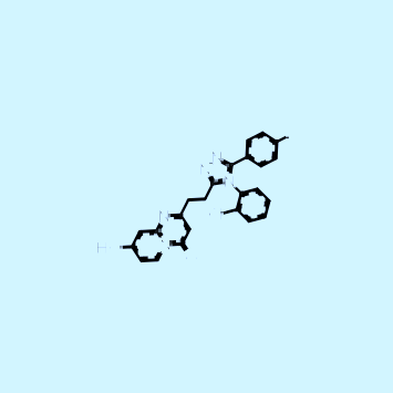 O=c1cc(CCc2nnc(-c3ccc(F)cc3)n2-c2ccccc2Cl)nc2cc(O)ccn12